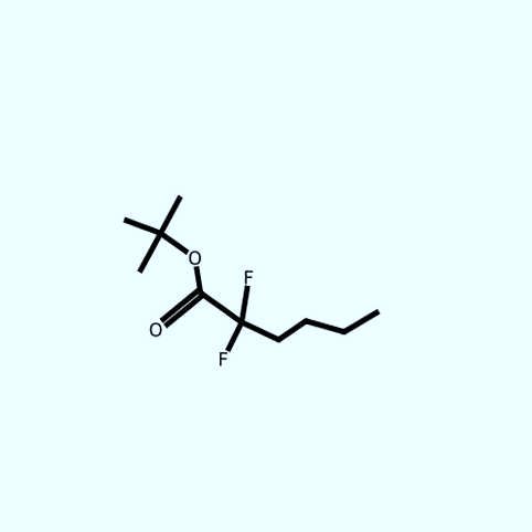 CCCCC(F)(F)C(=O)OC(C)(C)C